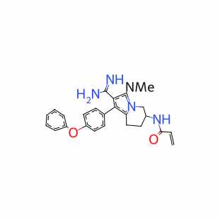 C=CC(=O)NC1CCc2c(-c3ccc(Oc4ccccc4)cc3)c(C(=N)N)c(NC)n2C1